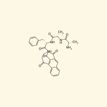 C[C@H](N)C(=O)N[C@@H](C)C(=O)N[C@@H](Cc1ccccc1)C(=O)NC(=O)c1c2cc3ccccc3c1C(=O)CCCC2=O